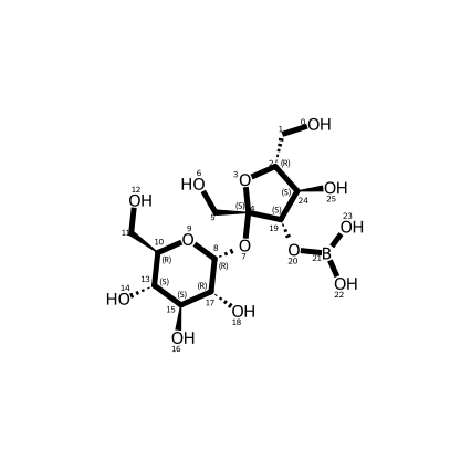 OC[C@H]1O[C@@](CO)(O[C@H]2O[C@H](CO)[C@@H](O)[C@H](O)[C@H]2O)[C@@H](OB(O)O)[C@@H]1O